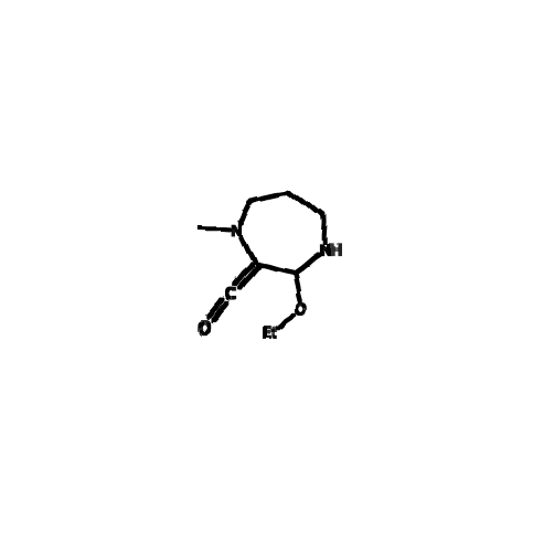 CCOC1NCCCN(C)C1=C=O